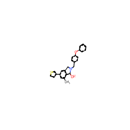 Cc1cc(-c2ccsc2)cc2c1C(O)N(Cc1ccc(Oc3ccccc3)cc1)C2